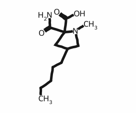 CCCCCC1CN(C)C(C(N)=O)(C(=O)O)C1